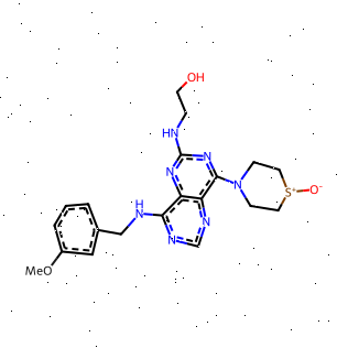 COc1cccc(CNc2ncnc3c(N4CC[S+]([O-])CC4)nc(NCCO)nc23)c1